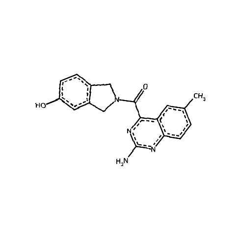 Cc1ccc2nc(N)nc(C(=O)N3Cc4ccc(O)cc4C3)c2c1